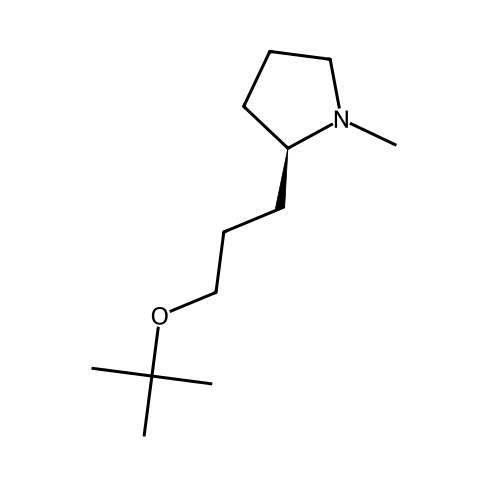 CN1CCC[C@@H]1CCCOC(C)(C)C